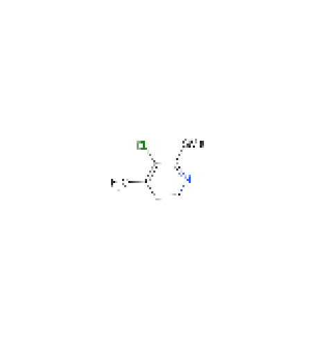 [CH2]Sc1nccc(C(F)(F)F)c1Cl